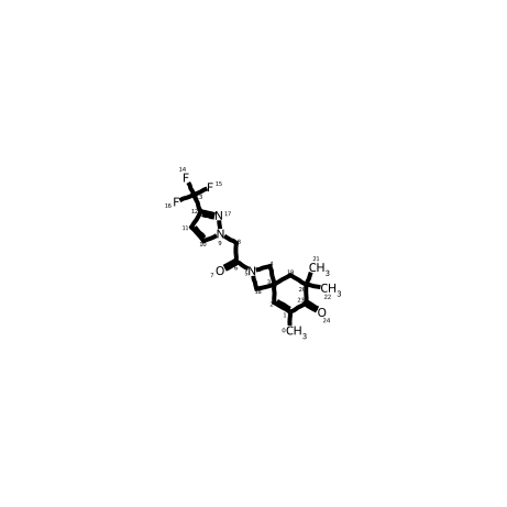 CC1=CC2(CN(C(=O)Cn3ccc(C(F)(F)F)n3)C2)CC(C)(C)C1=O